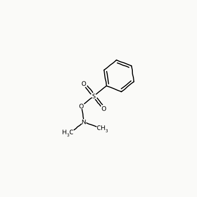 CN(C)OS(=O)(=O)c1ccccc1